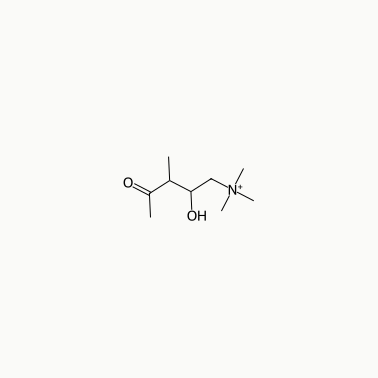 CC(=O)C(C)C(O)C[N+](C)(C)C